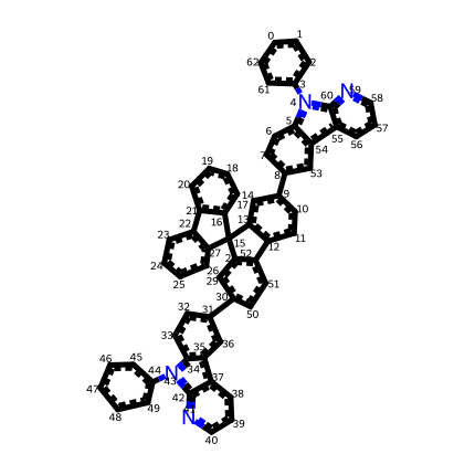 c1ccc(-n2c3ccc(-c4ccc5c(c4)C4(c6ccccc6-c6ccccc64)c4cc(-c6ccc7c(c6)c6cccnc6n7-c6ccccc6)ccc4-5)cc3c3cccnc32)cc1